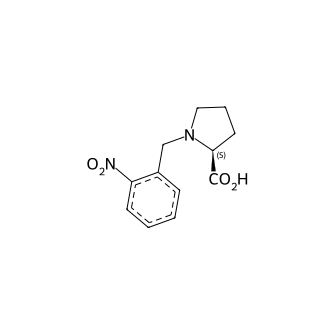 O=C(O)[C@@H]1CCCN1Cc1ccccc1[N+](=O)[O-]